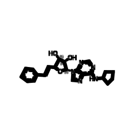 O[C@@H]1[C@H](O)C(C=Cc2ccccc2)O[C@H]1n1cnc2c(NC3CCCC3)ncnc21